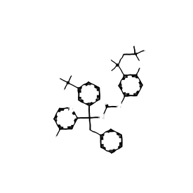 Cc1ccnc(C(Cc2ccccc2)(NC(=O)Nc2ccc3c(c2)C(F)(F)CC(F)(F)O3)c2cccc(C(F)(F)F)c2)c1